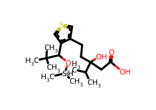 CC(C)C(O)(CCc1cscc1C(O[SiH](C)C)C(C)(C)C)CC(=O)O